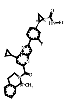 CCNC(=O)[C@H]1C[C@@H]1c1ccc(-c2cc3nc(C(=O)N4CCc5ccccc5[C@H]4C)cc(C4CC4)n3n2)c(F)c1